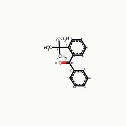 CC(C)(C(=O)O)c1ccccc1C(=O)c1ccccc1